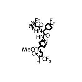 CCc1nonc1C(=O)N[C@H](C(=O)Nc1cc([C@@H](COC)N2C[C@@H](C(F)(F)F)NC2=O)ccn1)C1CCC(F)(F)CC1